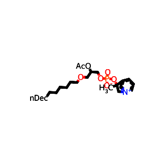 CCCCCCCCCCCCCCCCOCC(COP(=O)([O-])OC1(C)C[n+]2cccc1c2)OC(C)=O